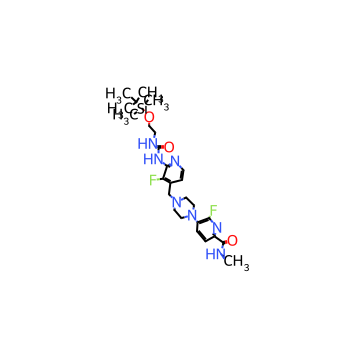 CNC(=O)c1ccc(N2CCN(Cc3ccnc(NC(=O)NCCO[Si](C)(C)C(C)(C)C)c3F)CC2)c(F)n1